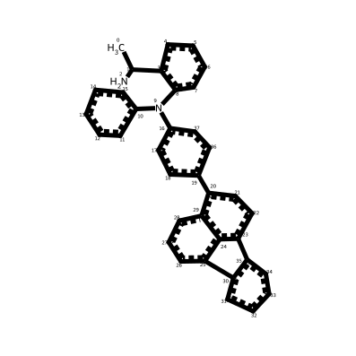 CC(N)c1ccccc1N(c1ccccc1)c1ccc(-c2ccc3c4c(cccc24)-c2ccccc2-3)cc1